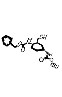 CC(C)(C)OC(=O)N[C@@H]1CC[C@H](NC(=O)OCc2ccccc2)[C@@H](CO)C1